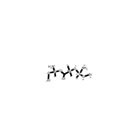 CCO[Si](C)(N)OC(CC)[Si](C)(C)O[Si](C)(N)OCC